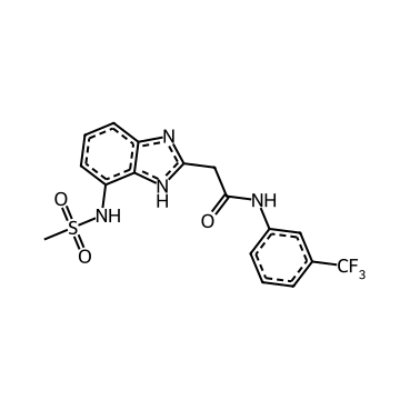 CS(=O)(=O)Nc1cccc2nc(CC(=O)Nc3cccc(C(F)(F)F)c3)[nH]c12